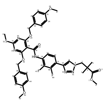 COC(=O)C(C)(C)Cn1cc(-c2ccc(NC(=O)c3c(OCc4ccc(OC)cc4)nc(SC)nc3OCc3ccc(OC)cc3)c(F)c2F)nn1